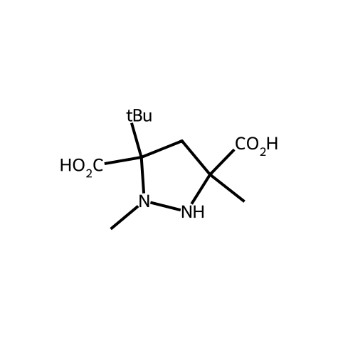 CN1NC(C)(C(=O)O)CC1(C(=O)O)C(C)(C)C